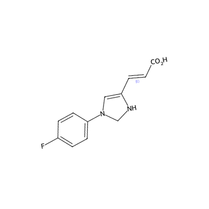 O=C(O)/C=C/C1=CN(c2ccc(F)cc2)CN1